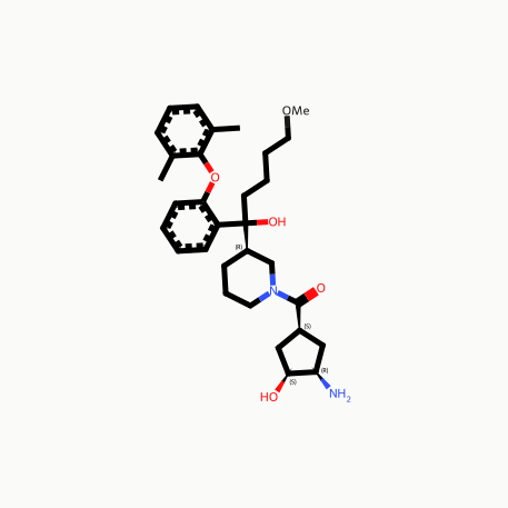 COCCCCC(O)(c1ccccc1Oc1c(C)cccc1C)[C@@H]1CCCN(C(=O)[C@H]2C[C@@H](N)[C@@H](O)C2)C1